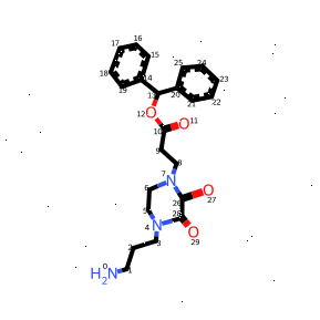 NCCCN1CCN(CCC(=O)OC(c2ccccc2)c2ccccc2)C(=O)C1=O